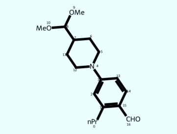 CCCc1cc(N2CCC(C(OC)OC)CC2)ccc1C=O